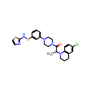 C[C@@H](C(=O)N1CCN(c2cccc(SNc3nccs3)c2)CC1)N1CCCc2cc(Cl)ccc21